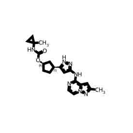 Cc1cc2c(Nc3cc([C@H]4CC[C@@H](OC(=O)NC5(C)CC5)C4)[nH]n3)nccn2n1